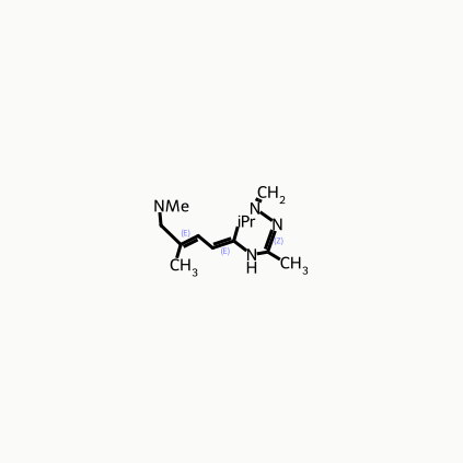 C=N/N=C(/C)N/C(=C/C=C(\C)CNC)C(C)C